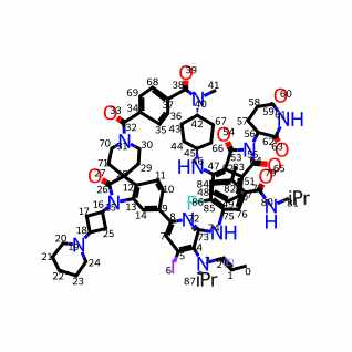 C/C=C/N(c1c(I)cc(-c2ccc3c(c2)N(C2CC(N4CCCCC4)C2)C(=O)C32CCN(C(=O)c3ccc(C(=O)N(C)[C@H]4CC[C@H](Nc5cccc6c5C(=O)N(C5CCC(=O)NC5=O)C6=O)CC4)cc3)CC2)nc1Nc1cc(C(=O)NC(C)C)c(C)cc1F)C(C)C